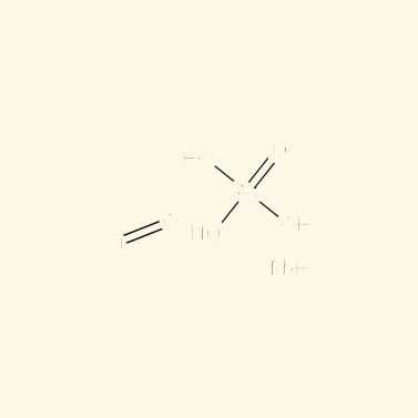 O=[As](O)(O)O.[O]=[Ti].[RbH]